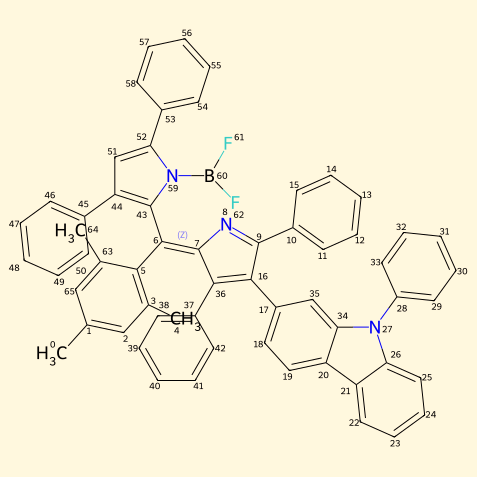 Cc1cc(C)c(/C(=C2/N=C(c3ccccc3)C(c3ccc4c5ccccc5n(-c5ccccc5)c4c3)=C2c2ccccc2)c2c(-c3ccccc3)cc(-c3ccccc3)n2B(F)F)c(C)c1